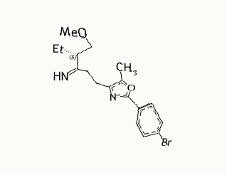 CC[C@H](COC)C(=N)CCc1nc(-c2ccc(Br)cc2)oc1C